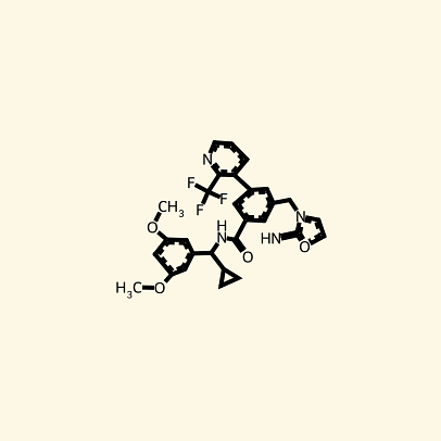 COc1cc(OC)cc(C(NC(=O)c2cc(Cn3ccoc3=N)cc(-c3cccnc3C(F)(F)F)c2)C2CC2)c1